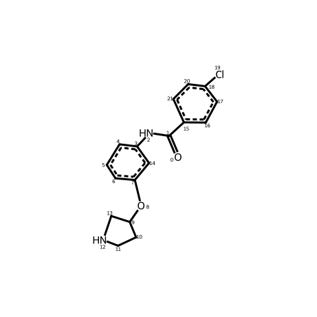 O=C(Nc1cccc(OC2CCNC2)c1)c1ccc(Cl)cc1